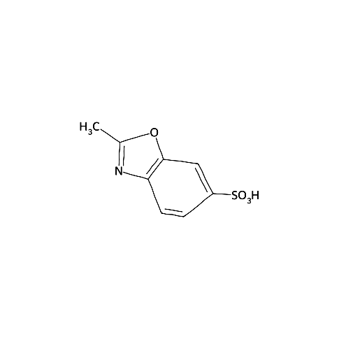 Cc1nc2ccc(S(=O)(=O)O)cc2o1